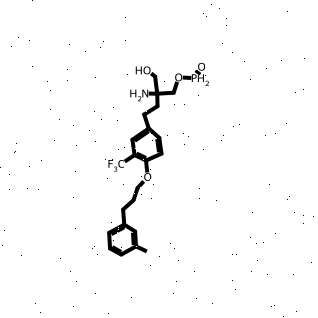 Cc1cccc(CCCOc2ccc(CCC(N)(CO)CO[PH2]=O)cc2C(F)(F)F)c1